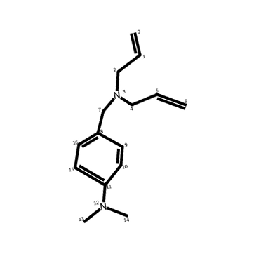 C=CCN(CC=C)Cc1ccc(N(C)C)cc1